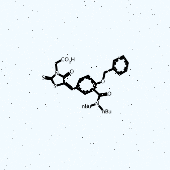 CCCCN(CCCC)C(=O)c1cc(C=C2SC(=S)N(CC(=O)O)C2=O)ccc1OCc1ccccc1